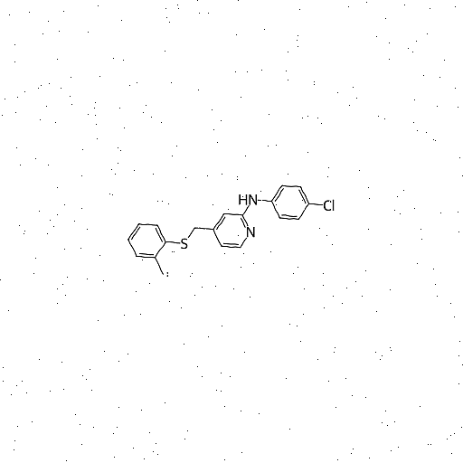 [CH]c1ccccc1SCc1ccnc(Nc2ccc(Cl)cc2)c1